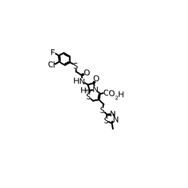 Cc1nnc(SCC2=C(C(=O)O)N3C(=O)C(NC(=O)CSc4ccc(F)c(Cl)c4)[C@@H]3SC2)s1